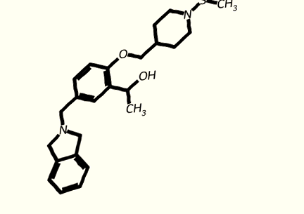 CSN1CCC(COc2ccc(CN3Cc4ccccc4C3)cc2C(C)O)CC1